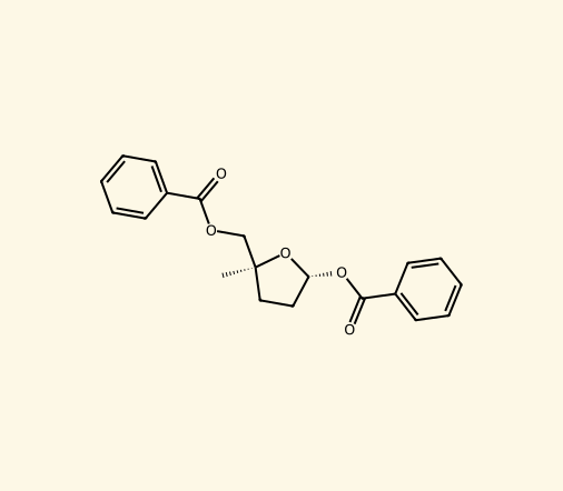 C[C@@]1(COC(=O)c2ccccc2)CC[C@@H](OC(=O)c2ccccc2)O1